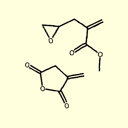 C=C(CC1CO1)C(=O)OC.C=C1CC(=O)OC1=O